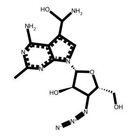 Cc1nc(N)c2c(C(N)O)cn([C@@H]3O[C@H](CO)C(N=[N+]=[N-])[C@H]3O)c2n1